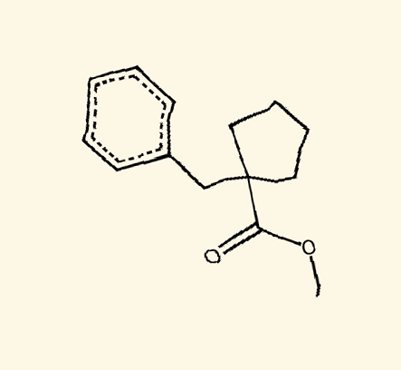 COC(=O)C1(Cc2ccccc2)CCCC1